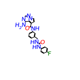 Nc1ncnn2ccc(C(=O)Nc3cccc(CNC(=O)Nc4ccc(F)cc4)c3)c12